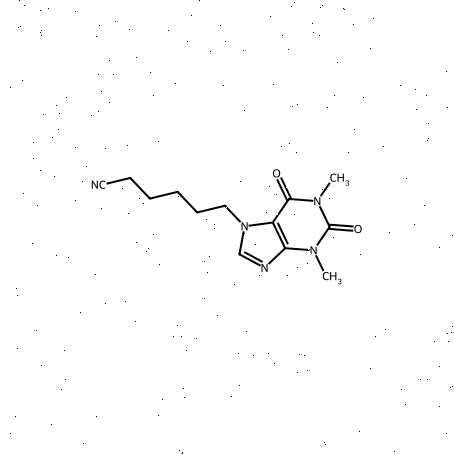 Cn1c(=O)c2c(ncn2CCCCCC#N)n(C)c1=O